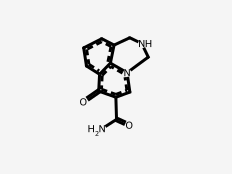 NC(=O)c1cn2c3c(cccc3c1=O)CNC2